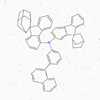 c1cc(-c2cccc3ccccc23)cc(N(c2ccc3c(c2)C2(CC4CCC2C4)c2ccccc2-3)c2cccc3c2-c2ccccc2C32C3CC4CC(C3)CC2C4)c1